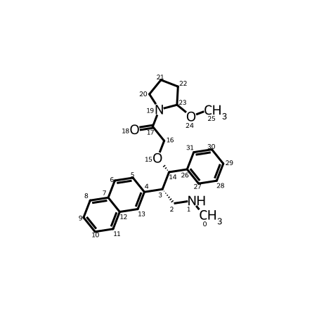 CNC[C@H](c1ccc2ccccc2c1)[C@H](OCC(=O)N1CCCC1OC)c1ccccc1